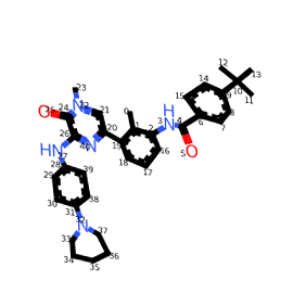 Cc1c(NC(=O)c2ccc(C(C)(C)C)cc2)cccc1-c1cn(C)c(=O)c(Nc2ccc(N3CCCCC3)cc2)n1